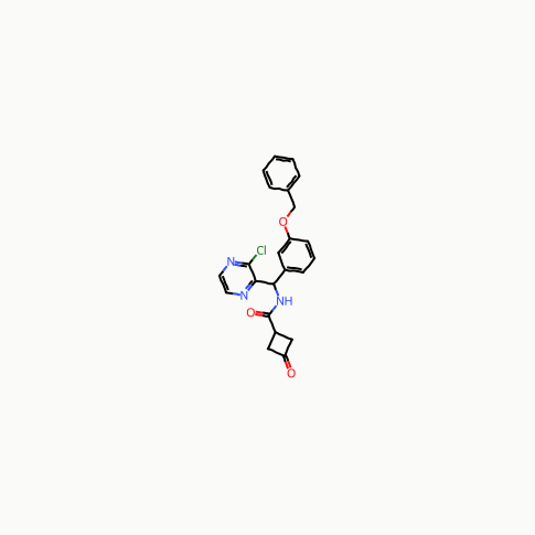 O=C1CC(C(=O)NC(c2cccc(OCc3ccccc3)c2)c2nccnc2Cl)C1